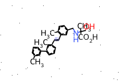 Cc1cccc(-c2cccc(/C=C/c3cc(CNC(C)(CO)C(=O)O)ccc3C)c2C)c1